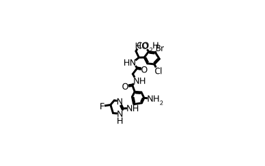 Nc1cc(NC2=NCC(F)CN2)cc(C(=O)NCC(=O)NC(CC(=O)O)c2cc(Cl)cc(Br)c2O)c1